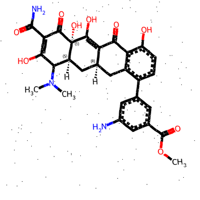 COC(=O)c1cc(N)cc(-c2ccc(O)c3c2C[C@H]2C[C@H]4C(N(C)C)C(O)=C(C(N)=O)C(=O)[C@@]4(O)C(O)=C2C3=O)c1